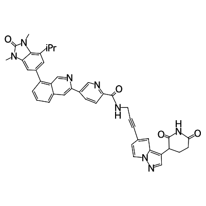 CC(C)c1cc(-c2cccc3cc(-c4ccc(C(=O)NCC#Cc5ccn6ncc(C7CCC(=O)NC7=O)c6c5)nc4)ncc23)cc2c1n(C)c(=O)n2C